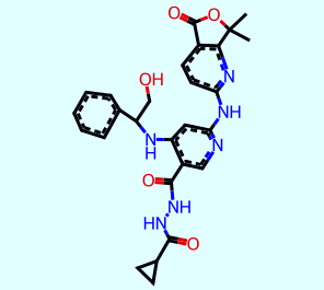 CC1(C)OC(=O)c2ccc(Nc3cc(NC(CO)c4ccccc4)c(C(=O)NNC(=O)C4CC4)cn3)nc21